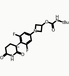 CC(C)(C)NC(=O)OC1CN(c2cc(F)c([C@@H]3CCC(=O)NC3=O)c(F)c2)C1